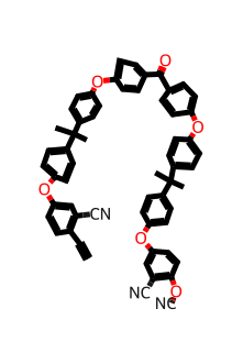 C#Cc1ccc(Oc2ccc(C(C)(C)c3ccc(Oc4ccc(C(=O)c5ccc(Oc6ccc(C(C)(C)c7ccc(Oc8ccc(OC#N)c(C#N)c8)cc7)cc6)cc5)cc4)cc3)cc2)cc1C#N